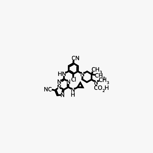 CN(C(=O)O)C1CCN(c2cc(C#N)cc(Nc3nc(NC4CC4)c4ncc(C#N)n4n3)c2Cl)CC1(C)C